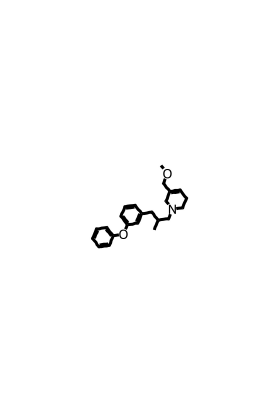 COCC1=CCCN(CC(C)Cc2cccc(Oc3ccccc3)c2)C1